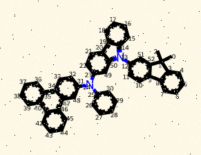 CC1(C)c2ccccc2-c2ccc(-n3c4ccccc4c4ccc(N(c5ccccc5)c5ccc6c7ccccc7c7ccccc7c6c5)cc43)cc21